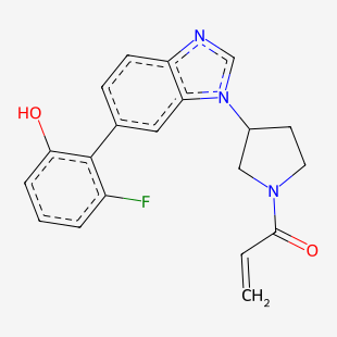 C=CC(=O)N1CCC(n2cnc3ccc(-c4c(O)cccc4F)cc32)C1